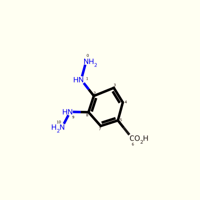 NNc1ccc(C(=O)O)cc1NN